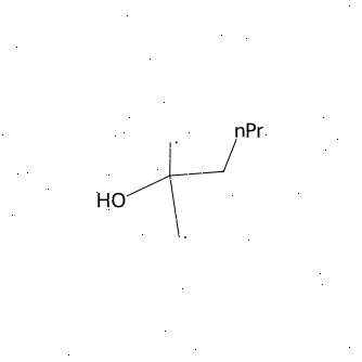 [CH2]C([CH2])(O)CCCC